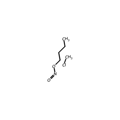 CCCCON=O.CCl